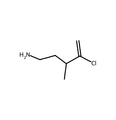 C=C(Cl)C(C)CCN